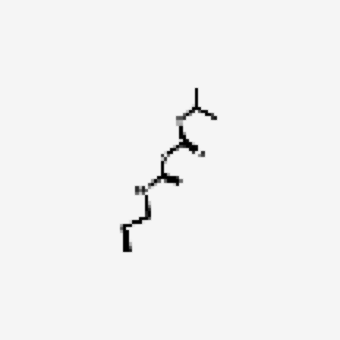 C=CCNC(=S)SC(=O)OC(C)C